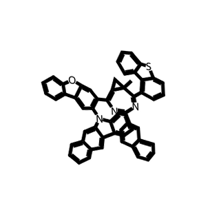 CC12CC1=C(c1cc3oc4ccccc4c3cc1-n1c3ccccc3c3cc4ccccc4cc31)N=C(c1ccc3ccccc3c1)N=C2c1cccc2sc3ccccc3c12